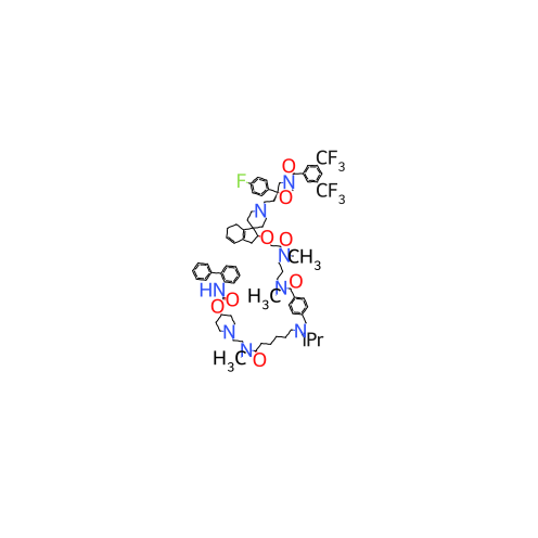 CC(C)N(CCCCCC(=O)N(C)CCN1CCC(OC(=O)Nc2ccccc2-c2ccccc2)CC1)Cc1ccc(C(=O)N(C)CCCN(C)C(=O)CO[C@H]2CC3=C(CCC=C3)C23CCN(CC[C@@]2(c4ccc(F)cc4)CN(C(=O)c4cc(C(F)(F)F)cc(C(F)(F)F)c4)CO2)CC3)cc1